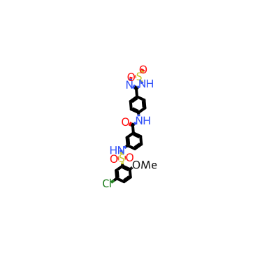 COc1ccc(Cl)cc1S(=O)(=O)Nc1cccc(C(=O)Nc2ccc(C3=NOS(=O)N3)cc2)c1